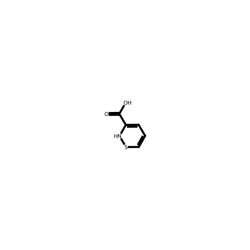 O=C(O)C1=CC=CSN1